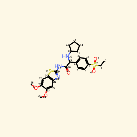 CCS(=O)(=O)c1ccc(C(NC2CCCC2)C(=O)Nc2nc3cc(OC)c(OC)cc3s2)cc1